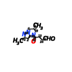 Cc1cc2n(n1)C[C@H](C)CN2C(=O)CCC=O